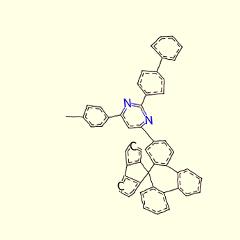 Cc1ccc(-c2cc(-c3ccc4c(c3)C3(c5ccccc5-c5ccccc5-4)c4ccccc4-c4ccccc43)nc(-c3ccc(-c4ccccc4)cc3)n2)cc1